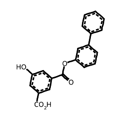 O=C(O)c1cc(O)cc(C(=O)Oc2cccc(-c3ccccc3)c2)c1